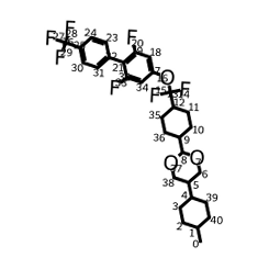 CC1CCC(C2COC(C3CCC(C(F)(F)Oc4cc(F)c(-c5ccc(C(F)(F)F)cc5)c(F)c4)CC3)OC2)CC1